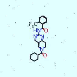 O=C(NC1=NCC2=CN(C(=O)C3CCCCC3)CCC2=N1)c1ccccc1C(F)(F)F